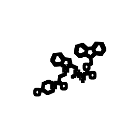 CN(Cc1cc2ccccc2n1CCC(=O)N1CCC(=O)CC1)N(C)C(=O)OCC1c2ccccc2-c2ccccc21